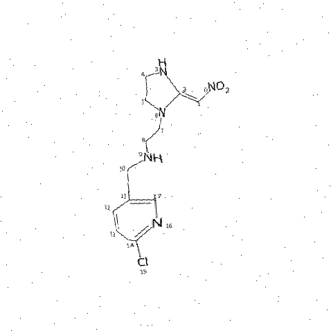 O=[N+]([O-])C=C1NCCN1CCNCc1ccc(Cl)nc1